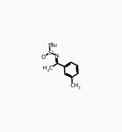 C/C(=N\[S+]([O-])C(C)(C)C)c1cccc(C)c1